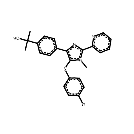 Cn1c(-c2ccccn2)nc(-c2ccc(C(C)(C)O)cc2)c1Sc1ccc(Cl)cc1